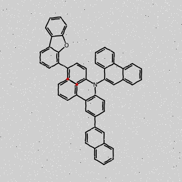 c1ccc(-c2cc(-c3ccc4ccccc4c3)ccc2N(c2ccc(-c3cccc4c3oc3ccccc34)cc2)c2cc3ccccc3c3ccccc23)cc1